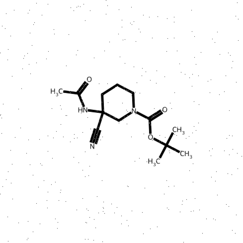 CC(=O)NC1(C#N)CCCN(C(=O)OC(C)(C)C)C1